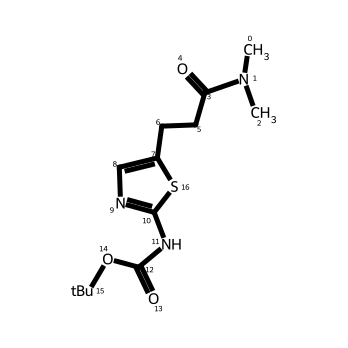 CN(C)C(=O)CCc1cnc(NC(=O)OC(C)(C)C)s1